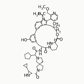 CCn1c(-c2cccnc2[C@H](C)OC)c2c3cc(ccc31)-c1cc(O)cc(c1)C[C@H](NC(=O)C(C1CCCC1)N1CC[C@]3(CCN(C(=O)[C@@H]4NC4C4CC4)C3)C1)C(=O)N1CCC[C@H](N1)C(=O)OCC(C)(C)C2